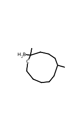 BC1(C)CCCCCCC(C)CCC1